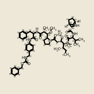 CC[C@H](C)[C@@H]([C@@H](CC(=O)N1CCCC1[C@H](OC)[C@@H](C)C(=O)NC(Cc1ccccc1)C(=O)Nc1ccc(CNC(=O)OCc2ccccc2)cc1)OC)N(C)C(=O)C(NC(=O)[C@H]1N[C@@H]2CC[C@H]1C2)C(C)C